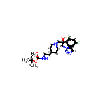 CC(C)(C)OC(=O)NCCC1CCN(CC(O)(Cn2ccnn2)c2ccc(F)cc2F)CC1